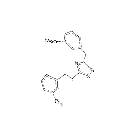 COc1cccc(Cc2nsc([CH]Cc3cccc(C(F)(F)F)c3)n2)c1